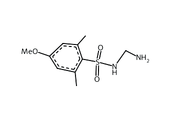 COc1cc(C)c(S(=O)(=O)NCN)c(C)c1